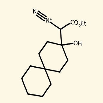 CCOC(=O)C([N+]#N)C1(O)CCC2(CCCCC2)CC1